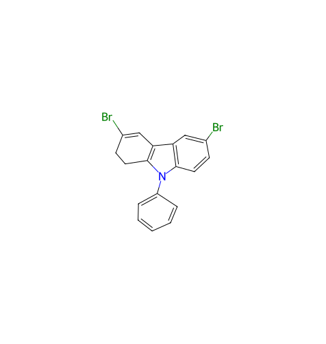 BrC1=Cc2c(n(-c3ccccc3)c3ccc(Br)cc23)CC1